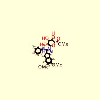 COC(=O)[C@H]1O[C@@H](n2nc3c(c2Nc2cccc(F)c2)Cc2cc(OC)c(OC)cc2-3)[C@H](O)[C@@H](O)[C@@H]1O